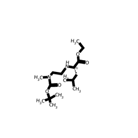 CCOC(=O)[C@H](CC(C)C)NCCN(C)C(=O)OC(C)(C)C